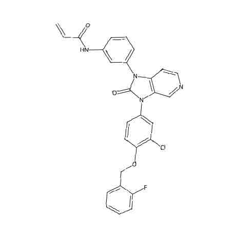 C=CC(=O)Nc1cccc(-n2c(=O)n(-c3ccc(OCc4ccccc4F)c(Cl)c3)c3cnccc32)c1